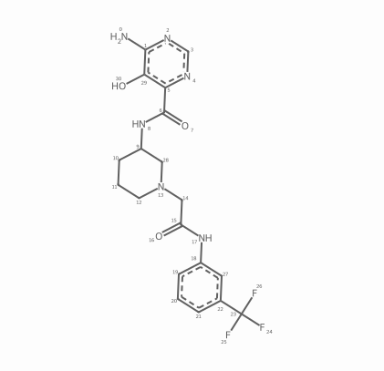 Nc1ncnc(C(=O)NC2CCCN(CC(=O)Nc3cccc(C(F)(F)F)c3)C2)c1O